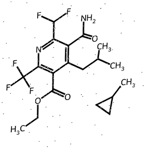 CC1CC1.CCOC(=O)c1c(C(F)(F)F)nc(C(F)F)c(C(N)=O)c1CC(C)C